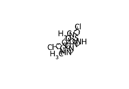 CN1CC(OC(=O)C(=O)OC2(C3=NCCN3)CN(C)c3cc(Cl)ccc3S2)(C2=NCCN2)Sc2ccc(Cl)cc21